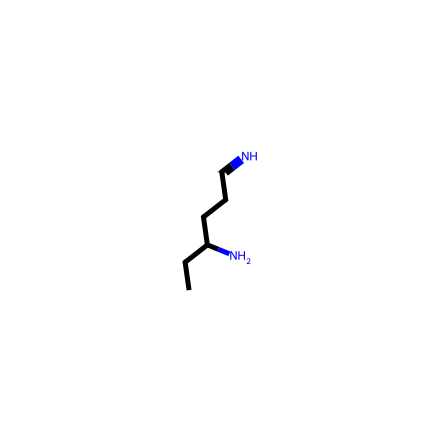 CCC(N)CC[C]=N